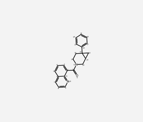 O=C(c1cccc2cccnc12)N1CCC2(c3ccccc3)CC2C1